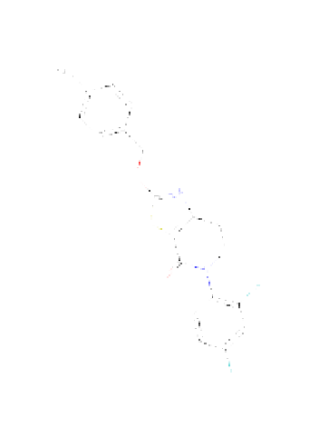 N#Cc1ccc(COc2nc3c(s2)C(=O)N(c2ccc(F)cc2F)CC3)cc1